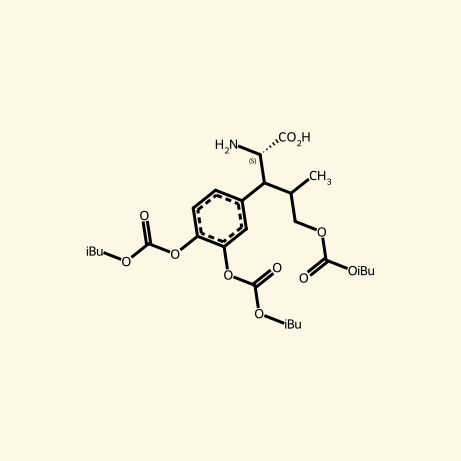 CCC(C)OC(=O)Oc1ccc(C(C(C)COC(=O)OCC(C)C)[C@H](N)C(=O)O)cc1OC(=O)OC(C)CC